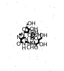 Nc1nc2c(ncn2[C@@H]2O[C@H](CO)[C@@H](O)[C@H]2OP(=O)(O)O)c(=O)[nH]1.O=CC(O)C(O)C(O)CO